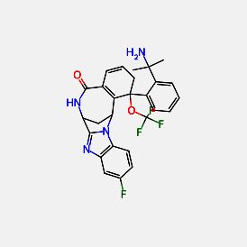 CC(C)(N)c1ccccc1C1(OC(F)(F)F)CC=CC2=C1C1CC(NC2=O)c2nc3cc(F)ccc3n21